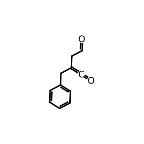 O=C=C(CC=O)Cc1ccccc1